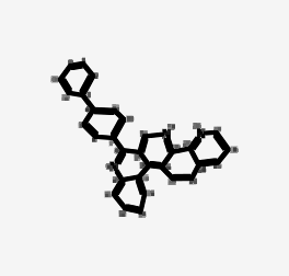 c1ccc(-c2ccc(-c3nc4ccccc4c4c3cnc3c4ccc4cccnc43)cc2)cc1